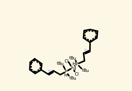 CC(C)(C)[PH](C/C=C/c1ccccc1)(C(C)(C)C)[Pd]([Cl])([Cl])[PH](C/C=C/c1ccccc1)(C(C)(C)C)C(C)(C)C